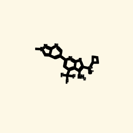 Cn1cc2cc(-c3cc(C(F)(F)F)c4c(N)c([S+]([O-])C5CCC5)sc4n3)cnc2n1